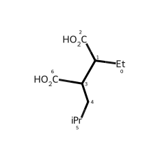 CCC(C(=O)O)C(CC(C)C)C(=O)O